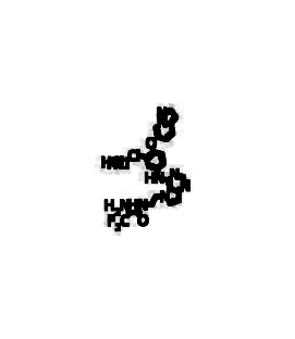 Cl.Cl.NC(C(=O)NCCn1ccc2ncnc(Nc3ccc(Oc4ccc5ccnn5c4)c(Cl)c3)c21)C(F)(F)F